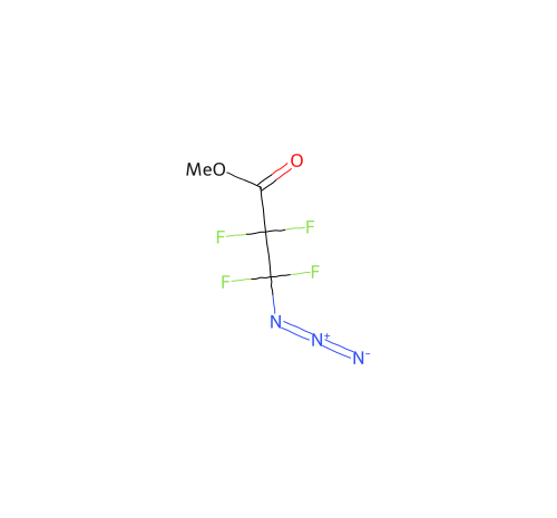 COC(=O)C(F)(F)C(F)(F)N=[N+]=[N-]